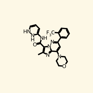 Cc1nc2c(N3CCOCC3)cc(-c3ccccc3C(F)(F)F)nn2c1C(=O)NC1=CC=CNN1